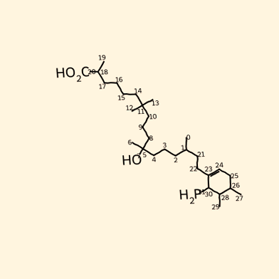 CC(CCCC(C)(O)CCCC(C)(C)CCCCC(C)C(=O)O)CCC1=CCC(C)C(C)C1P